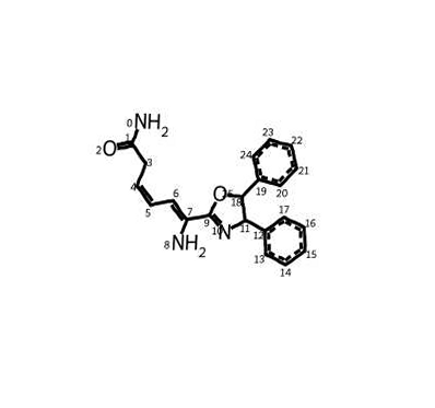 NC(=O)C/C=C\C=C(/N)C1=NC(c2ccccc2)C(c2ccccc2)O1